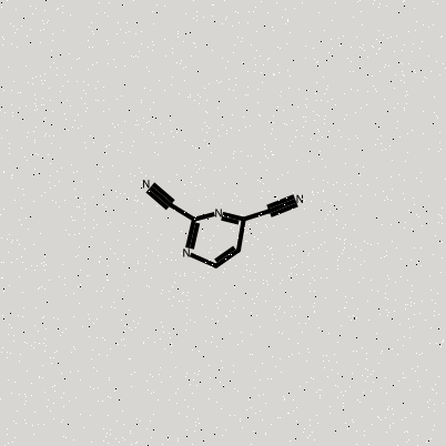 N#Cc1ccnc(C#N)n1